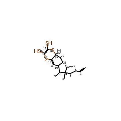 C=CCCC(C)(CC)C(C)C1C=C2SC(S)=C(S)S[C@H]2CC1